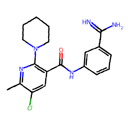 Cc1nc(N2CCCCC2)c(C(=O)Nc2cccc(C(=N)N)c2)cc1Cl